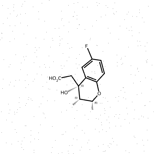 C[C@H]1Oc2ccc(F)cc2[C@](O)(CC(=O)O)[C@H]1C